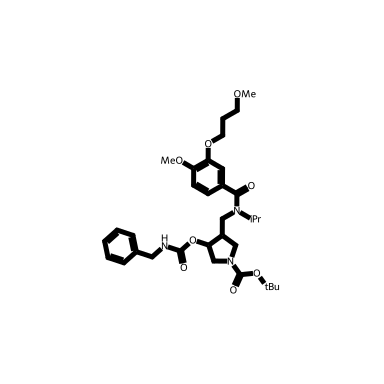 COCCCOc1cc(C(=O)N(CC2CN(C(=O)OC(C)(C)C)CC2OC(=O)NCc2ccccc2)C(C)C)ccc1OC